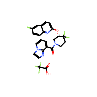 O=C(O)C(F)(F)F.O=C(c1cccn2ccnc12)N1CCC(F)(F)[C@@H](Oc2ccc3cc(F)ccc3n2)C1